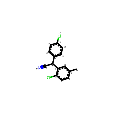 Cc1ccc(Cl)c(C(C#N)c2ccc(Cl)cc2)c1